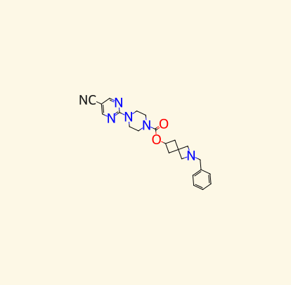 N#Cc1cnc(N2CCN(C(=O)OC3CC4(C3)CN(Cc3ccccc3)C4)CC2)nc1